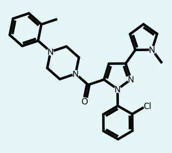 Cc1ccccc1N1CCN(C(=O)c2cc(-c3cccn3C)nn2-c2ccccc2Cl)CC1